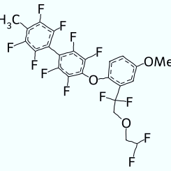 COc1ccc(Oc2c(F)c(F)c(-c3c(F)c(F)c(C)c(F)c3F)c(F)c2F)c(C(F)(F)COCC(F)F)c1